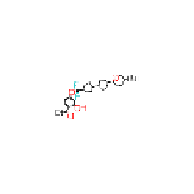 CCC(=O)c1ccc(OC(F)(F)C2CCC(C3CCC(C4CCC(C(C)CC)CO4)CC3)CC2)cc1O